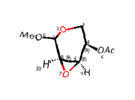 COC1OC[C@@H](OC(C)=O)[C@H]2O[C@@H]12